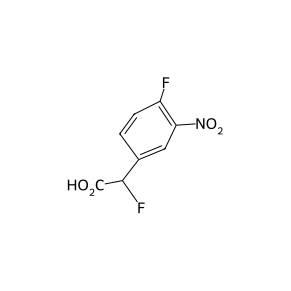 O=C(O)C(F)c1ccc(F)c([N+](=O)[O-])c1